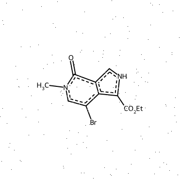 CCOC(=O)c1[nH]cc2c(=O)n(C)cc(Br)c12